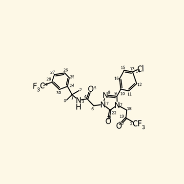 CC(C)(NC(=O)Cn1nc(-c2ccc(Cl)cc2)n(CC(=O)C(F)(F)F)c1=O)c1cccc(C(F)(F)F)c1